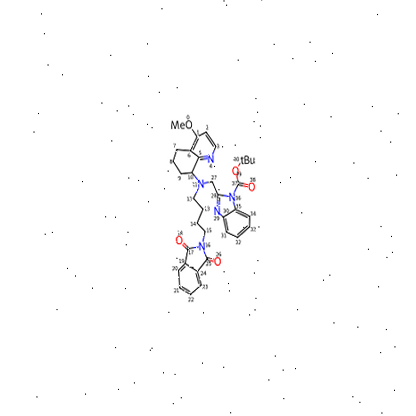 COc1ccnc2c1CCCC2N(CCCCN1C(=O)c2ccccc2C1=O)Cc1nc2ccccc2n1C(=O)OC(C)(C)C